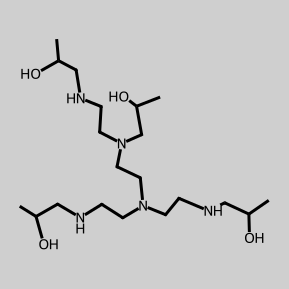 CC(O)CNCCN(CCNCC(C)O)CCN(CCNCC(C)O)CC(C)O